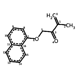 C=C(C)C(=O)COc1cccc2ccccc12